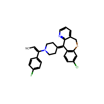 N#CC=C(c1ccc(F)cc1)N1CCC(=C2c3ccc(Cl)cc3SCc3cccnc32)CC1